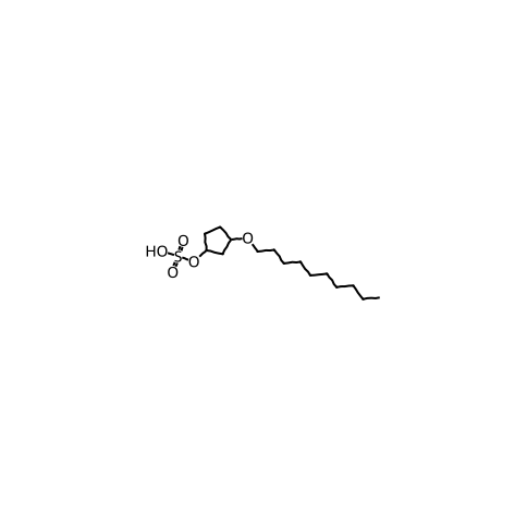 CCCCCCCCCCOC1CCC(OS(=O)(=O)O)C1